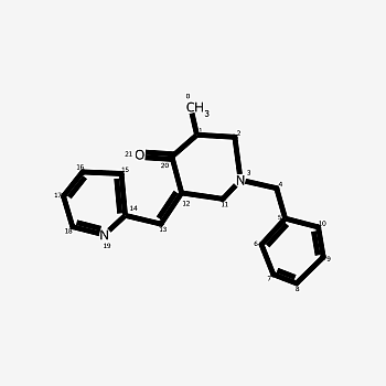 CC1CN(Cc2ccccc2)CC(=Cc2ccccn2)C1=O